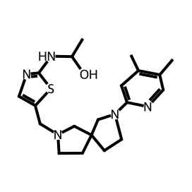 Cc1cnc(N2CCC3(CCN(Cc4cnc(NC(C)O)s4)C3)C2)cc1C